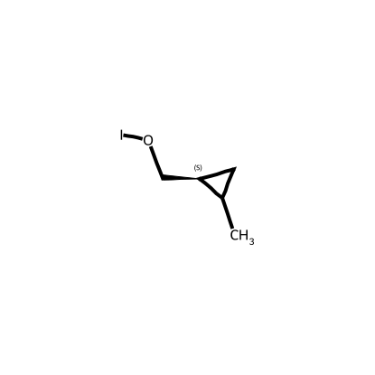 CC1C[C@@H]1COI